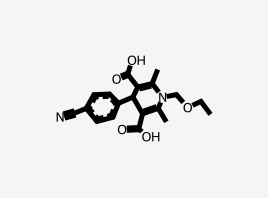 CCOCN1C(C)=C(C(=O)O)C(c2ccc(C#N)cc2)C(C(=O)O)=C1C